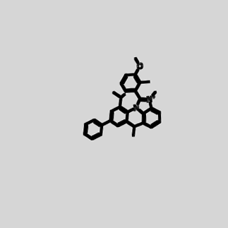 COc1cccc(-c2n3c4c(cccc4[n+]2C)C(C)c2cc(-c4ccccc4)cc(C(C)C)c2-3)c1C